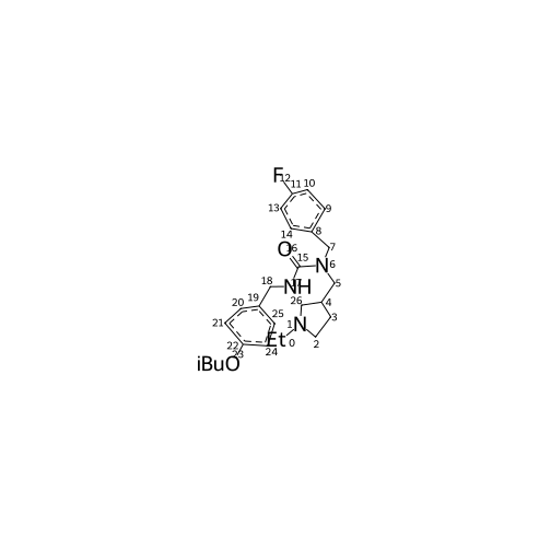 CCN1CCC(CN(Cc2ccc(F)cc2)C(=O)NCc2ccc(OCC(C)C)cc2)C1